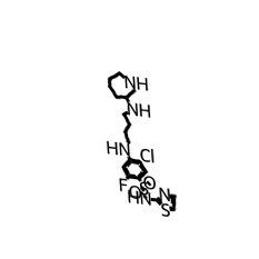 O=S(=O)(Nc1nccs1)c1cc(Cl)c(NCCCCNC2CCCCNC2)cc1F